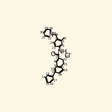 Cc1cc(NC(=O)C2=Cc3cc(-c4ccccc4)ccc3CC2)ccc1C[n+]1ccccc1.[Cl-]